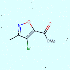 COC(=O)c1onc(C)c1Br